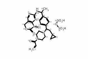 C=CC(=O)N1CCN(C(CC2CC2)c2ccc(C(C)Nc3ncc4c(n3)N(CC)C(=O)OC4)cc2)CC1.O=S(=O)(O)OS(=O)(=O)O